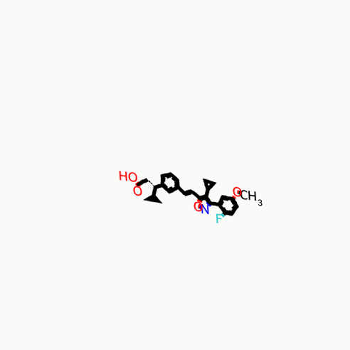 COc1ccc(F)c(-c2noc(/C=C/c3cccc([C@@H](CC(=O)O)C4CC4)c3)c2C2CC2)c1